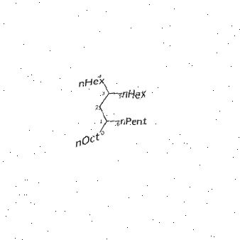 CCCCCCCCC([CH]C(CCCCCC)CCCCCC)CCCCC